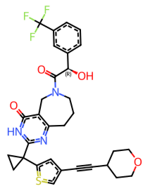 O=C([C@H](O)c1cccc(C(F)(F)F)c1)N1CCCc2nc(C3(c4cc(C#CC5CCOCC5)cs4)CC3)[nH]c(=O)c2C1